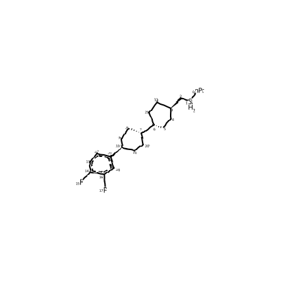 CCC[SiH2]C[C@H]1CC[C@H]([C@H]2CC[C@H](c3ccc(F)c(F)c3)CC2)CC1